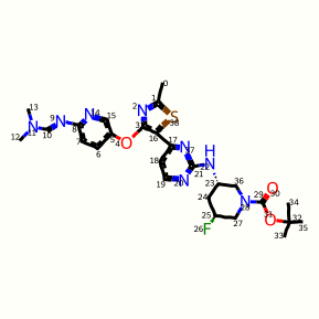 Cc1nc(Oc2ccc(/N=C/N(C)C)nc2)c(-c2ccnc(N[C@H]3C[C@H](F)CN(C(=O)OC(C)(C)C)C3)n2)s1